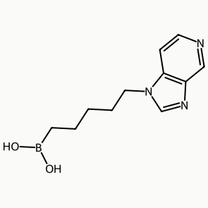 OB(O)CCCCCn1cnc2cnccc21